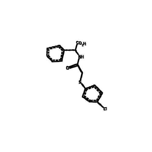 O=C(CSc1ccc(Cl)cc1)NC(C(=O)O)c1ccccc1